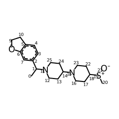 CC(c1ccc2c(c1)OCC2)N1CCC(N2CCC([S+](C)[O-])CC2)CC1